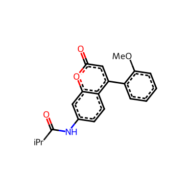 COc1ccccc1-c1cc(=O)oc2cc(NC(=O)C(C)C)ccc12